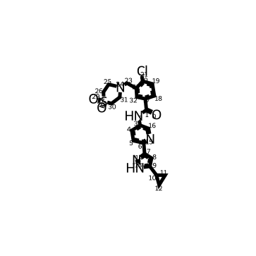 O=C(Nc1ccc(-c2cc(C3CC3)[nH]n2)nc1)c1ccc(Cl)c(CN2CCS(=O)(=O)CC2)c1